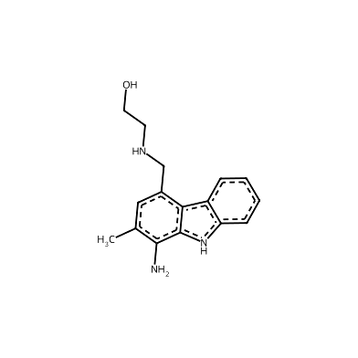 Cc1cc(CNCCO)c2c([nH]c3ccccc32)c1N